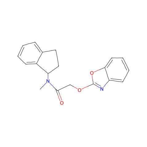 CN(C(=O)COc1nc2ccccc2o1)C1CCc2ccccc21